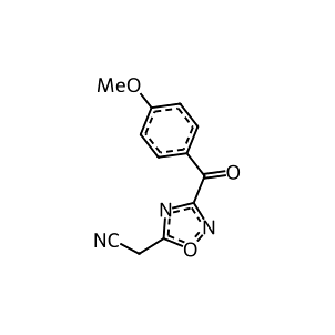 COc1ccc(C(=O)c2noc(CC#N)n2)cc1